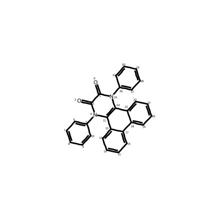 O=c1c(=O)n(-c2ccccc2)c2c3ccccc3c3ccccc3c2n1-c1ccccc1